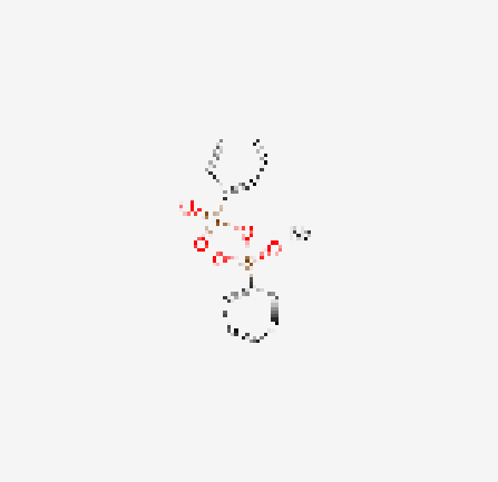 O=S(=O)(OS(=O)(=O)c1ccccc1)c1ccccc1.[Na]